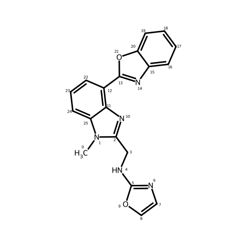 Cn1c(CNc2ncco2)nc2c(-c3nc4ccccc4o3)cccc21